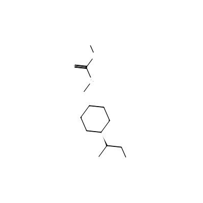 CC(CO)[C@H]1CC[C@H](CNC(=O)OC(C)(C)C)CC1